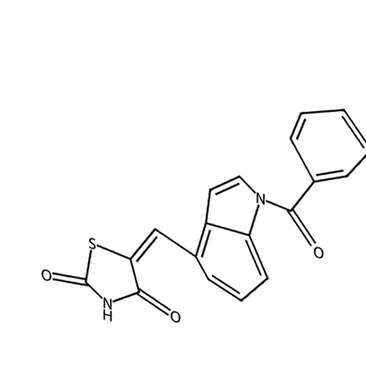 O=C1NC(=O)C(=Cc2cccc3c2ccn3C(=O)c2ccccc2)S1